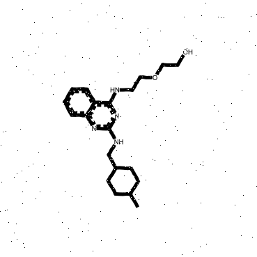 CC1CCC(CNc2nc(NCCOCCO)c3ccccc3n2)CC1